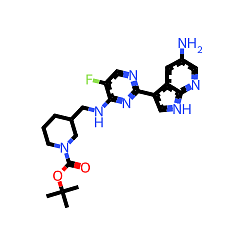 CC(C)(C)OC(=O)N1CCCC(CNc2nc(-c3c[nH]c4ncc(N)cc34)ncc2F)C1